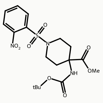 COC(=O)C1(NC(=O)OC(C)(C)C)CCN(S(=O)(=O)c2ccccc2[N+](=O)[O-])CC1